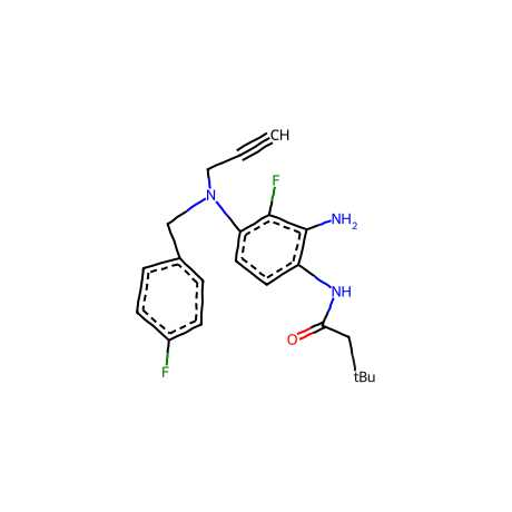 C#CCN(Cc1ccc(F)cc1)c1ccc(NC(=O)CC(C)(C)C)c(N)c1F